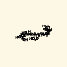 CC(=O)O.CCNC(=O)NS(=O)(=O)c1cccc(CCCCOCCCCCCNC[C@H](O)c2ccc(O)c(CO)c2)c1